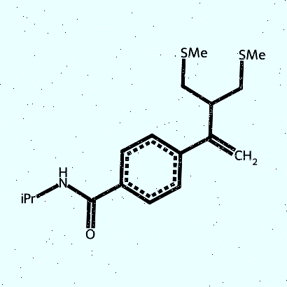 C=C(c1ccc(C(=O)NC(C)C)cc1)C(CSC)CSC